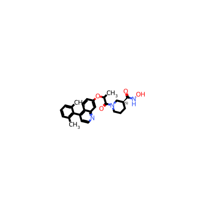 Cc1cccc(C)c1-c1ccnc2cc(OC(C)C(=O)N3CCC[C@H](C(=O)NO)C3)ccc12